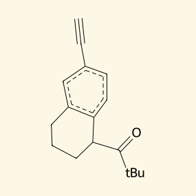 C#Cc1ccc2c(c1)CCCC2C(=O)C(C)(C)C